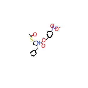 CC(=O)S[C@H]1C[C@@H](Cc2ccccc2)N(C(=O)OCc2ccc([N+](=O)[O-])cc2)C1